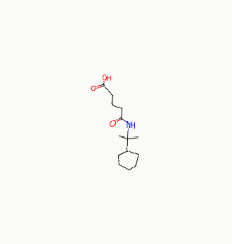 CC(C)(NC(=O)CCCC(=O)O)C1CCCCC1